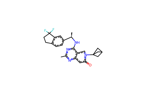 Cc1nc(N[C@H](C)c2ccc3c(c2)C(F)(F)CC3)c2cn(C34CC(C3)C4)c(=O)cc2n1